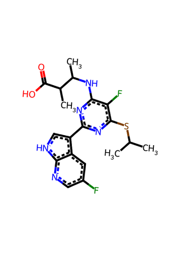 CC(C)Sc1nc(-c2c[nH]c3ncc(F)cc23)nc(NC(C)C(C)C(=O)O)c1F